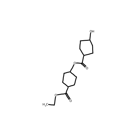 CCOC(=O)C1CCC(OC(=O)C2CCC(O)CC2)CC1